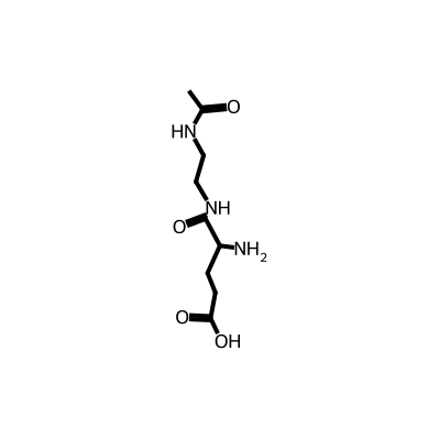 CC(=O)NCCNC(=O)C(N)CCC(=O)O